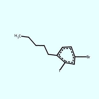 CCCCCc1ccc(Br)cc1I